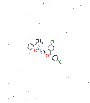 C[C@@H](NC(=O)N1CC(OC(c2ccc(Cl)cc2)c2ccc(Cl)cc2)C1)c1ccccc1